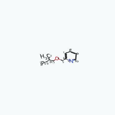 CC(C)[C@@H](C)COCc1ccccn1